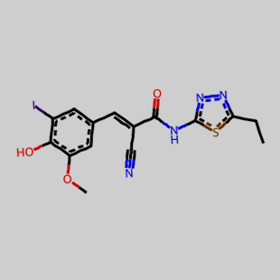 CCc1nnc(NC(=O)/C(C#N)=C/c2cc(I)c(O)c(OC)c2)s1